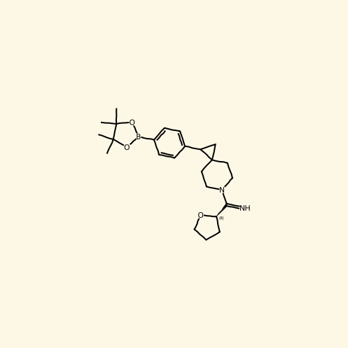 CC1(C)OB(c2ccc(C3CC34CCN(C(=N)[C@H]3CCCO3)CC4)cc2)OC1(C)C